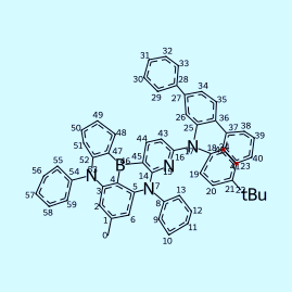 Cc1cc2c3c(c1)N(c1ccccc1)c1nc(N(c4ccc(C(C)(C)C)cc4)c4cc(-c5ccccc5)ccc4-c4ccccc4)ccc1B3c1ccccc1N2c1ccccc1